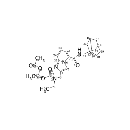 CCN(Cc1cn2c(C(=O)NCC34CC5CC(CC(C5)C3)C4)cccc2n1)C(=O)OC(C)OC(C)=O